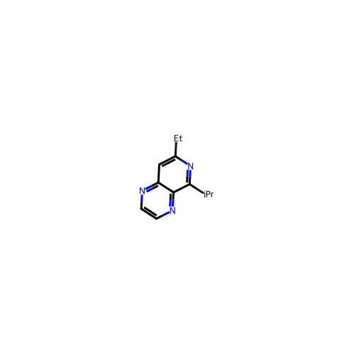 CCc1cc2nccnc2c(C(C)C)n1